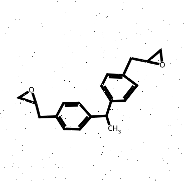 CC(c1ccc(CC2CO2)cc1)c1ccc(CC2CO2)cc1